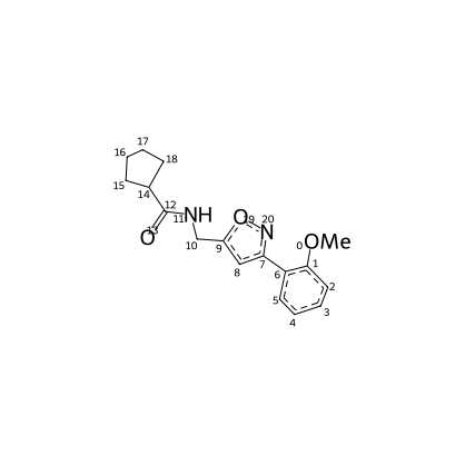 COc1ccccc1-c1cc(CNC(=O)C2CCCC2)on1